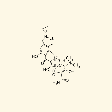 CCN(Cc1cc(O)c2c(c1F)C[C@H]1C[C@H]3[C@H](N(C)C)C(O)=C(C(N)=O)C(=O)[C@@]3(O)C(O)=C1C2=O)C1CC1